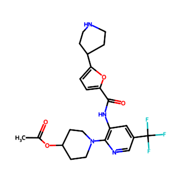 CC(=O)OC1CCN(c2ncc(C(F)(F)F)cc2NC(=O)c2ccc(C3CCNCC3)o2)CC1